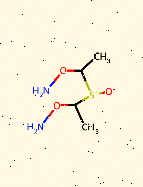 CC(ON)[S+]([O-])C(C)ON